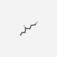 [CH2]CCC(F)CCCCl